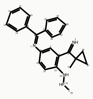 CC1(C(=N)c2cc(N=C(c3ccccc3)c3ccccc3)ccc2NPI)CC1